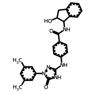 Cc1cc(C)cc(-n2nc(Nc3ccc(C(=O)NC4c5ccccc5CC4O)cc3)[nH]c2=O)c1